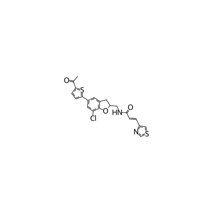 CC(=O)c1ccc(-c2cc(Cl)c3c(c2)CC(CNC(=O)C=Cc2cscn2)O3)s1